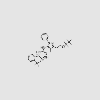 Cc1c(CCO[Si](C)(C)C(C)(C)C)nn(-c2ccccc2)c1NC(=O)N[C@H]1c2ccccc2C(C)(C)C[C@@H]1O